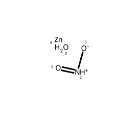 O.O=[NH+][O-].[Zn]